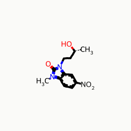 C[C@@H](O)CCn1c(=O)n(C)c2ccc([N+](=O)[O-])cc21